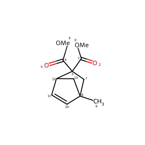 COC(=O)C1(C(=O)OC)CC2(C)C=CC1C2